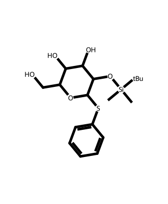 CC(C)(C)[Si](C)(C)OC1C(Sc2ccccc2)OC(CO)C(O)C1O